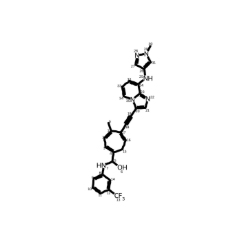 CC1=CC=C(C(O)Nc2cccc(C(F)(F)F)c2)CC=C1C#Cc1cnc2c(Nc3cnn(C)c3)cccn12